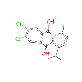 Cc1ccc(C(C)C)c2c1B(O)c1cc(Cl)c(Cl)cc1B2O